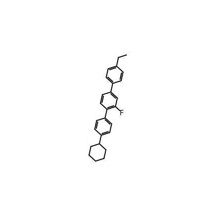 CCc1ccc(-c2ccc(-c3ccc(C4CCCCC4)cc3)c(F)c2)cc1